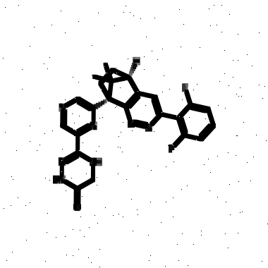 CC1(C)[C@H]2CC[C@]1(c1cncc(C3=NNC(=O)CN3)n1)c1nnc(-c3c(F)cccc3F)cc12